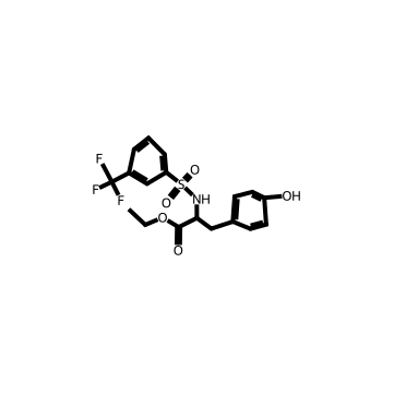 CCOC(=O)C(Cc1ccc(O)cc1)NS(=O)(=O)c1cccc(C(F)(F)F)c1